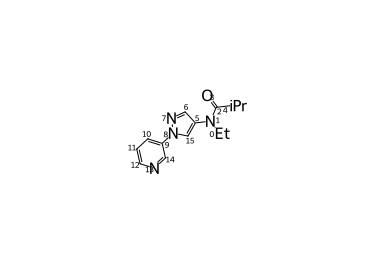 CCN(C(=O)C(C)C)c1cnn(-c2cccnc2)c1